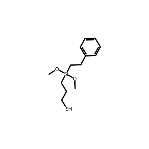 CO[Si](CCCS)(CCc1ccccc1)OC